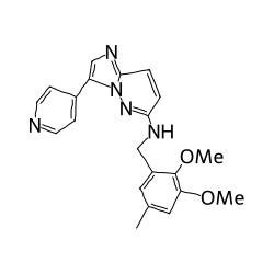 COc1cc(C)cc(CNc2ccc3ncc(-c4ccncc4)n3n2)c1OC